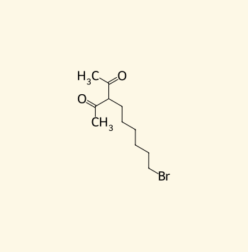 CC(=O)C(CCCCCCBr)C(C)=O